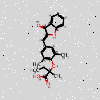 CCC(C)(Oc1c(C)cc(/C=C2\Oc3ccccc3C2=O)cc1C)C(=O)O